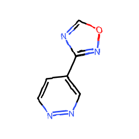 c1cc(-c2ncon2)cnn1